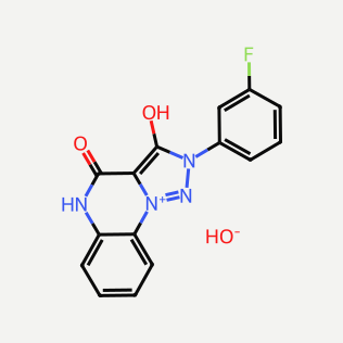 O=c1[nH]c2ccccc2[n+]2nn(-c3cccc(F)c3)c(O)c12.[OH-]